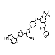 N#CCC1(n2cc(-c3ncnc4[nH]ccc34)cn2)CC(N2CCC(Oc3cc(CN[C@H]4CCOC4)cc(C(F)(F)F)n3)CC2)C1